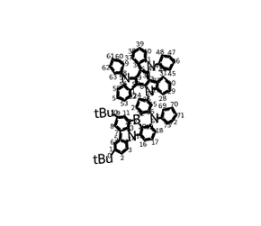 CC(C)(C)c1ccc2c(c1)c1cc(C(C)(C)C)cc3c1n2-c1cccc2c1B3c1ccc(-n3c4ccccc4c4c5c(c6ccccc6n5-c5ccccc5)c5c(c6ccccc6n5-c5ccccc5)c43)cc1N2c1ccccc1